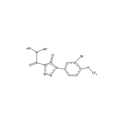 CCCN(CCC)C(=O)n1nnn(-c2ccc(OC(F)(F)F)c(Br)c2)c1=O